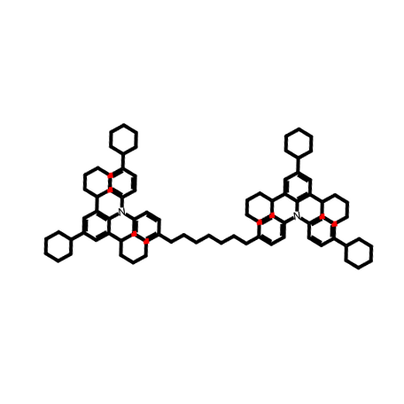 c1cc(N(c2ccc(C3CCCCC3)cc2)c2c(C3CCCCC3)cc(C3CCCCC3)cc2C2CCCCC2)ccc1CCCCCCCc1ccc(N(c2ccc(C3CCCCC3)cc2)c2c(C3CCCCC3)cc(C3CCCCC3)cc2C2CCCCC2)cc1